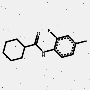 Cc1ccc(NC(=O)C2CCCCC2)c(F)c1